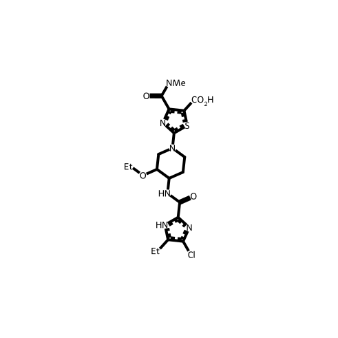 CCOC1CN(c2nc(C(=O)NC)c(C(=O)O)s2)CCC1NC(=O)c1nc(Cl)c(CC)[nH]1